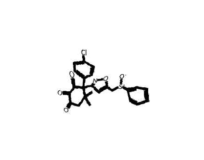 CC1(C)CC(=O)C(=O)C(=O)C1(c1ccc(Cl)cc1)c1cc(C[S+]([O-])c2ccccc2)on1